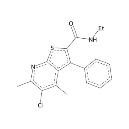 CCNC(=O)c1sc2nc(C)c(Cl)c(C)c2c1-c1ccccc1